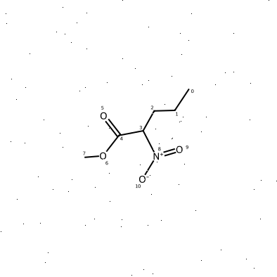 CCCC(C(=O)OC)[N+](=O)[O-]